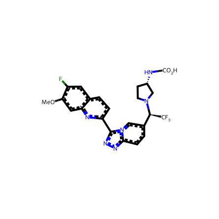 COc1cc2nc(-c3nnc4ccc([C@@H](N5CC[C@H](NC(=O)O)C5)C(F)(F)F)cn34)ccc2cc1F